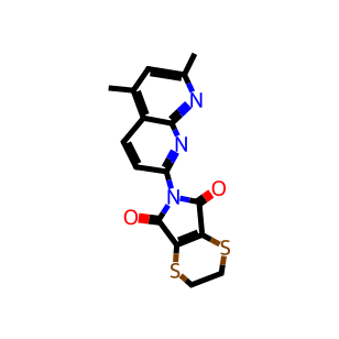 Cc1cc(C)c2ccc(N3C(=O)C4=C(SCCS4)C3=O)nc2n1